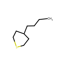 CCCCC1CCSCC1